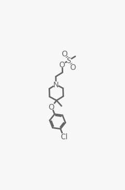 CC1(Oc2ccc(Cl)cc2)CCN(CCOS(C)(=O)=O)CC1